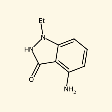 CCn1[nH]c(=O)c2c(N)cccc21